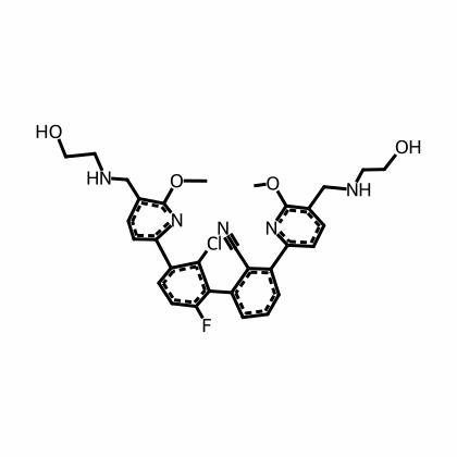 COc1nc(-c2ccc(F)c(-c3cccc(-c4ccc(CNCCO)c(OC)n4)c3C#N)c2Cl)ccc1CNCCO